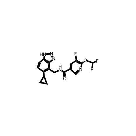 O=C(NCc1c(C2CC2)ccc2[nH]nnc12)c1cnc(OC(F)F)c(F)c1